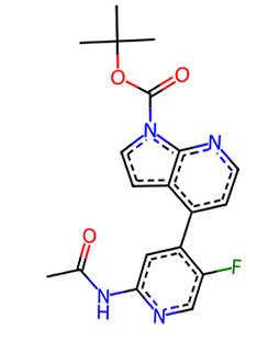 CC(=O)Nc1cc(-c2ccnc3c2ccn3C(=O)OC(C)(C)C)c(F)cn1